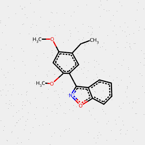 CCc1cc(-c2noc3ccccc23)c(OC)cc1OC